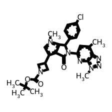 Cc1cc(N2C(=O)c3c(C4CN(C(=O)OC(C)(C)C)C4)cn(C)c3C2c2ccc(Cl)cc2)nc2c1nnn2C